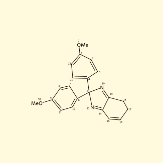 COc1ccc(C2(c3ccc(OC)cc3)N=C3C=CCCC3=N2)cc1